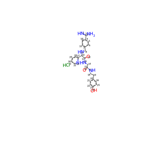 Cl.N=C(N)c1ccc(CNC(C(=O)NCC(=O)NCCc2ccc(O)cc2)c2ccccn2)cc1